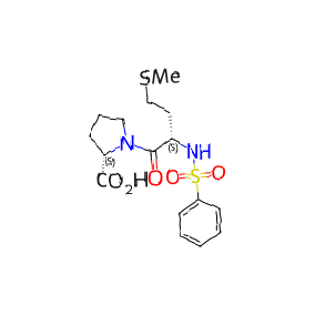 CSCC[C@H](NS(=O)(=O)c1ccccc1)C(=O)N1CCC[C@H]1C(=O)O